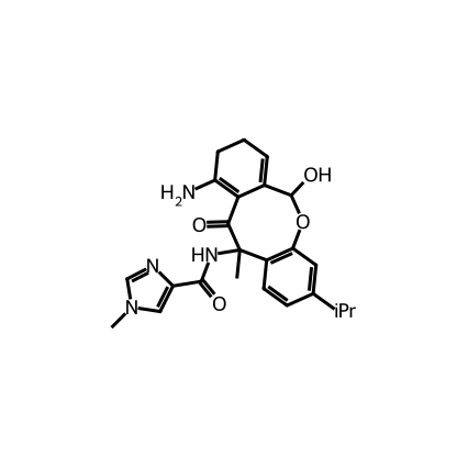 CC(C)c1ccc2c(c1)OC(O)C1=CCCC(N)=C1C(=O)C2(C)NC(=O)c1cn(C)cn1